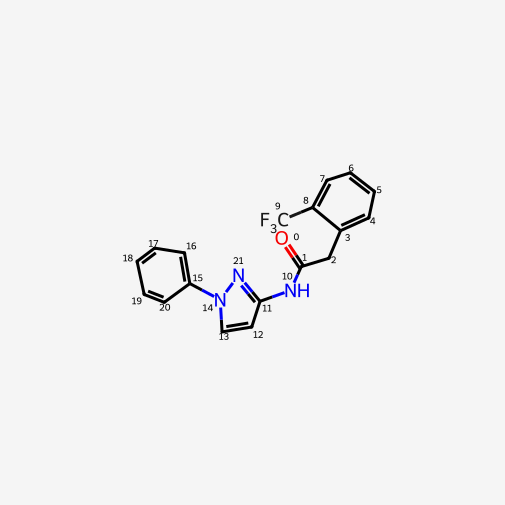 O=C(Cc1ccccc1C(F)(F)F)Nc1ccn(-c2ccccc2)n1